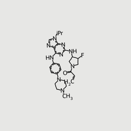 C=CC(=O)N1CC(F)C(Nc2nc(Nc3ccc(N4CCN(C)CC4)cc3)c3ncn(C(C)C)c3n2)C1